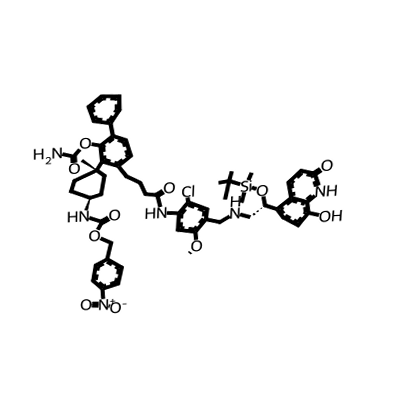 COc1cc(NC(=O)CCCc2ccc(-c3ccccc3)c(OC(N)=O)c2[C@]2(C)CC[C@@H](NC(=O)OCc3ccc([N+](=O)[O-])cc3)CC2)c(Cl)cc1CNC[C@H](O[Si](C)(C)C(C)(C)C)c1ccc(O)c2[nH]c(=O)ccc12